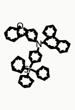 c1ccc([Si](c2ccccc2)(c2ccccc2)c2ccc(N(c3ccc4oc5ccccc5c4c3)c3cc4ccccc4c4ccccc34)cc2)cc1